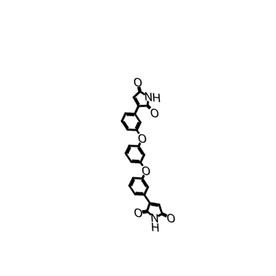 O=C1C=C(c2cccc(Oc3cccc(Oc4cccc(C5=CC(=O)NC5=O)c4)c3)c2)C(=O)N1